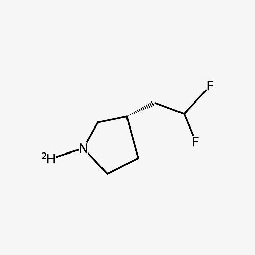 [2H]N1CC[C@@H](CC(F)F)C1